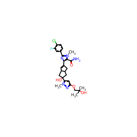 Cn1nc(OCC(C)(C)O)cc1C1(O)CC2C=C(c3nc(-c4ccc(Cl)c(F)c4)n(C)c3C(N)=O)CC2C1